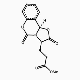 COC(=O)CC[C@@H]1C(=O)O[C@@H]2c3ccccc3OC(=O)N12